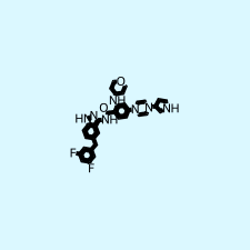 O=C(Nc1n[nH]c2ccc(Cc3cc(F)cc(F)c3)cc12)c1ccc(N2CCN(C3CCNC3)CC2)cc1NC1CCOCC1